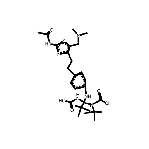 CC(=O)Nc1nc(CCc2ccc(NC(NC(=O)O)(N(C(=O)O)C(C)(C)C)C(C)(C)C)cc2)c(CN(C)C)s1